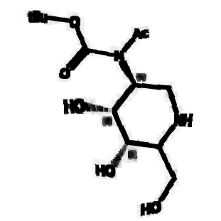 CC(=O)N(C(=O)OC(C)(C)C)[C@H]1CNC(CO)[C@H](O)[C@@H]1O